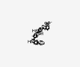 O=C(Cc1cccc([N+](=O)[O-])c1)N1CCC(O)(C(O)CN2CCC(c3c[nH]c4ccc(N5CCOCC5)cc34)CC2)CC1